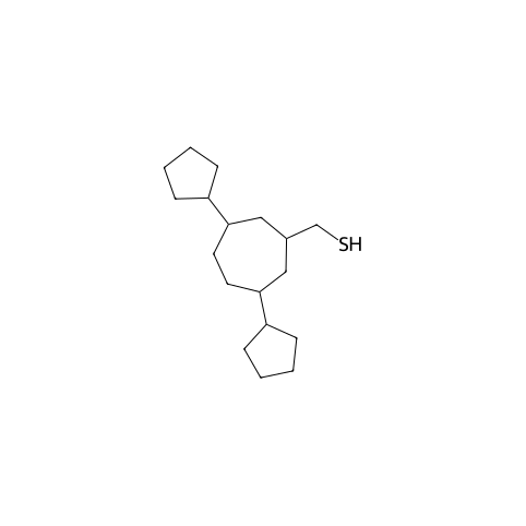 SCC1CC(C2CCCC2)CCC(C2CCCC2)C1